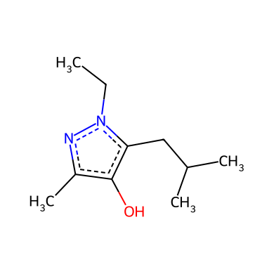 CCn1nc(C)c(O)c1CC(C)C